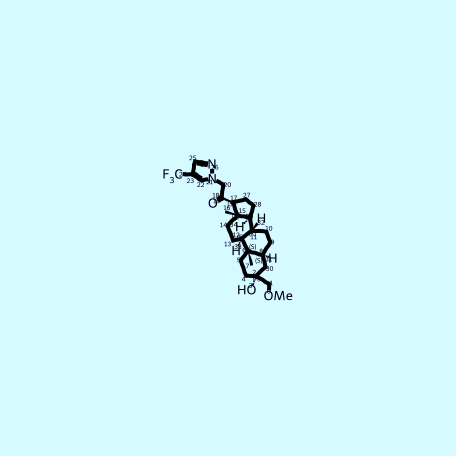 COC[C@@]1(O)CC[C@@]2(C)[C@@H](CC[C@@H]3[C@@H]2CC[C@]2(C)[C@@H](C(=O)Cn4cc(C(F)(F)F)cn4)CC[C@@H]32)C1